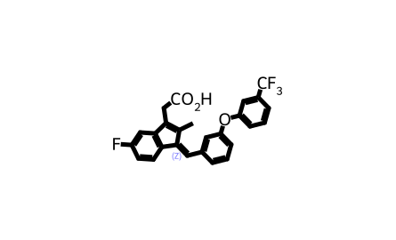 CC1=C(CC(=O)O)c2cc(F)ccc2/C1=C/c1cccc(Oc2cccc(C(F)(F)F)c2)c1